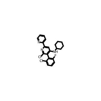 Fc1cccc(Cl)c1-c1c(NC2CCCCC2)cc(-c2ccccn2)nc1Cl